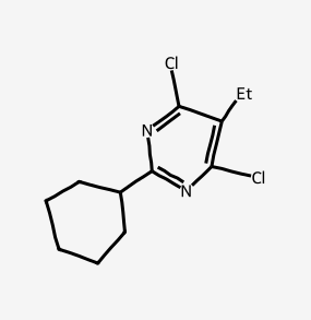 CCc1c(Cl)nc(C2CCCCC2)nc1Cl